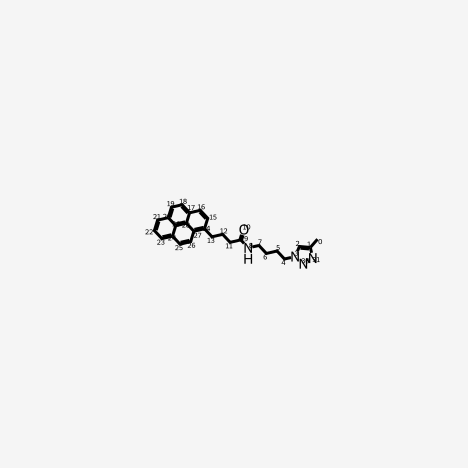 Cc1cn(CCCCNC(=O)CCCc2ccc3ccc4cccc5ccc2c3c45)nn1